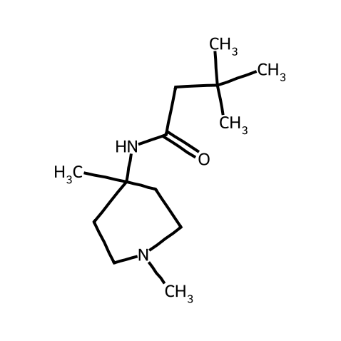 CN1CCC(C)(NC(=O)CC(C)(C)C)CC1